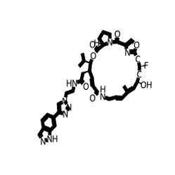 CC1=C\[C@@H](O)C[C@@H](F)Cc2nc(co2)C(=O)N2CCC[C@@H]2C(=O)O[C@H](C(C)C)[C@H](CC(=O)NCCn2cc(-c3ccc4cn[nH]c4c3)nn2)/C=C/C(=O)NC\C=C\1